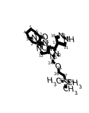 CN1CC2CCC(C1=O)N2c1ncc2c(n1)c(-c1cn[nH]c1)nn2COCC[Si](C)(C)C